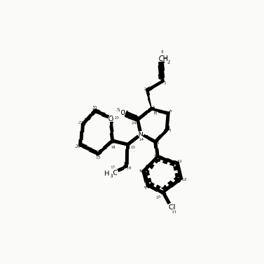 C=CC[C@H]1CCC(c2ccc(Cl)cc2)N(C(CC)C2CCCCO2)C1=O